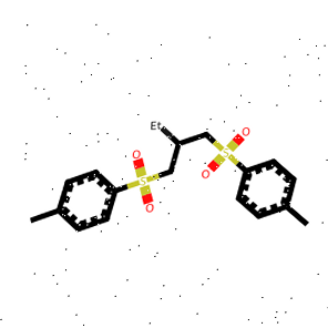 CCC(CS(=O)(=O)c1ccc(C)cc1)CS(=O)(=O)c1ccc(C)cc1